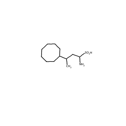 CC(CC(N)S(=O)(=O)O)C1CCCCCCC1